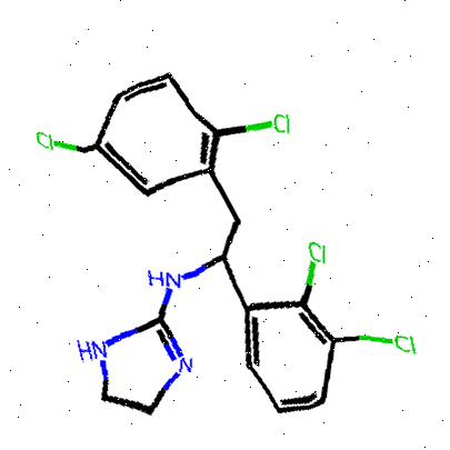 Clc1ccc(Cl)c(CC(NC2=NCCN2)c2cccc(Cl)c2Cl)c1